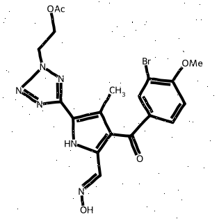 COc1ccc(C(=O)c2c(C=NO)[nH]c(-c3nnn(CCOC(C)=O)n3)c2C)cc1Br